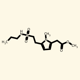 CCCNS(=O)(=O)CCc1ccc(CC(=O)OC)n1C